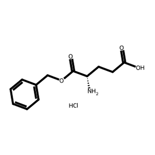 Cl.N[C@@H](CCC(=O)O)C(=O)OCc1ccccc1